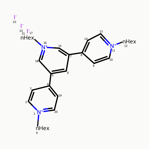 CCCCCC[n+]1ccc(-c2cc(-c3cc[n+](CCCCCC)cc3)c[n+](CCCCCC)c2)cc1.[I-].[I-].[I-]